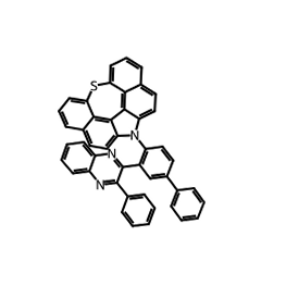 c1ccc(-c2ccc(-n3c4ccc5cccc6sc7cccc8ccc3c(c87)c4c56)c(-c3nc4ccccc4nc3-c3ccccc3)c2)cc1